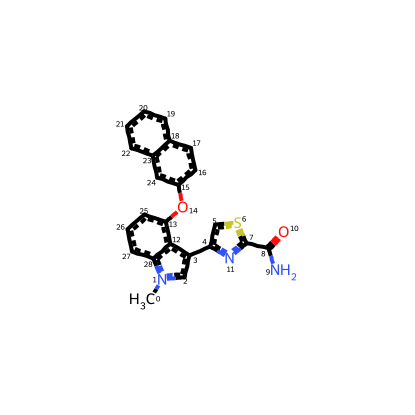 Cn1cc(-c2csc(C(N)=O)n2)c2c(Oc3ccc4ccccc4c3)cccc21